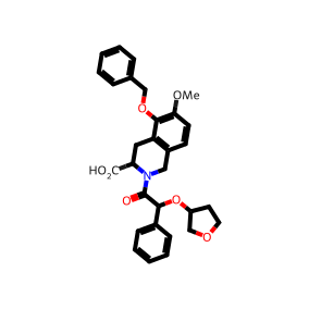 COc1ccc2c(c1OCc1ccccc1)CC(C(=O)O)N(C(=O)C(OC1CCOC1)c1ccccc1)C2